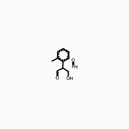 Cc1ccccc1C(C=O)CO.O=P